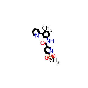 Cc1ccc(NC(=O)c2ccc(S(C)(=O)=O)nc2)cc1-c1ccccn1